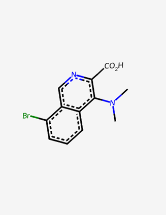 CN(C)c1c(C(=O)O)ncc2c(Br)cccc12